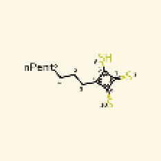 CCCCCCCCc1c(S)c(=S)c1=S